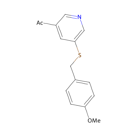 COc1ccc(CSc2cncc(C(C)=O)c2)cc1